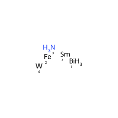 N.[BiH3].[Fe].[Sm].[W]